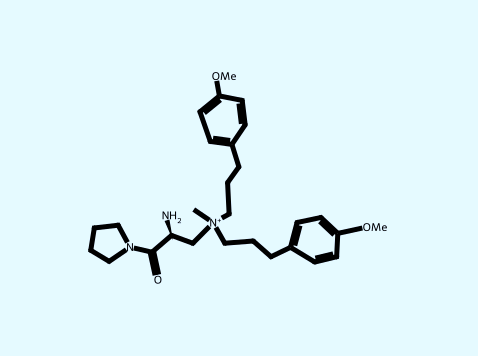 COc1ccc(CCC[N+](C)(CCCc2ccc(OC)cc2)C[C@H](N)C(=O)N2CCCC2)cc1